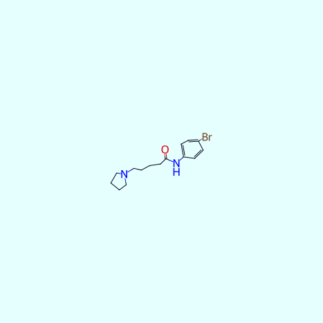 O=C(CCCCN1CCCC1)Nc1ccc(Br)cc1